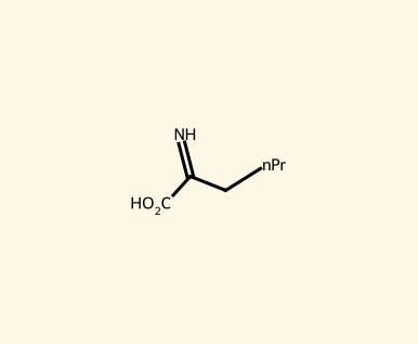 CCCCC(=N)C(=O)O